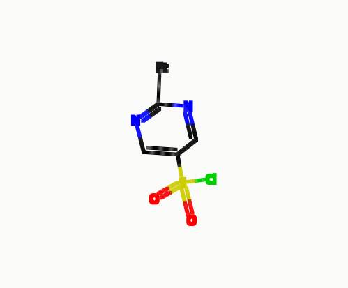 CCc1ncc(S(=O)(=O)Cl)cn1